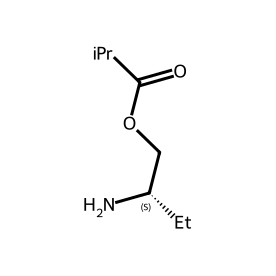 CC[C@H](N)COC(=O)C(C)C